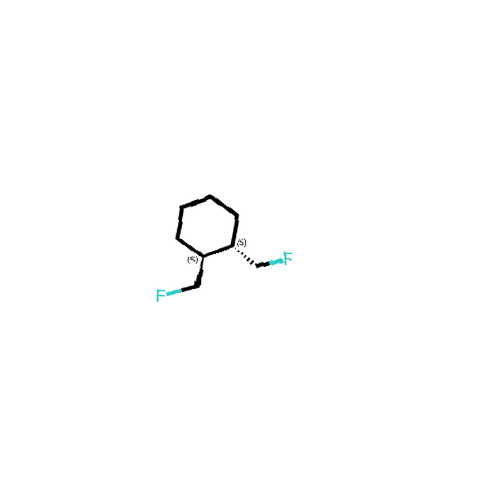 FC[C@H]1CCCC[C@@H]1CF